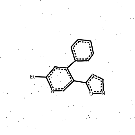 CCc1cc(-c2ccccc2)c(-c2ccno2)[c]n1